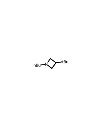 CCCCN1CC(C(C)(C)C)C1